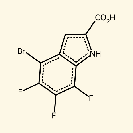 O=C(O)c1cc2c(Br)c(F)c(F)c(F)c2[nH]1